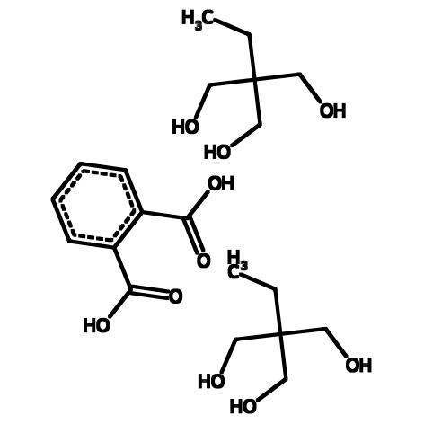 CCC(CO)(CO)CO.CCC(CO)(CO)CO.O=C(O)c1ccccc1C(=O)O